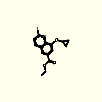 CCOC(=O)c1cc(OC2CC2)c2nc(I)ccc2c1